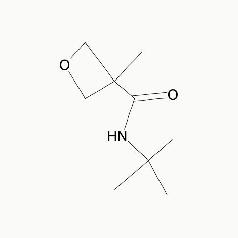 CC(C)(C)NC(=O)C1(C)COC1